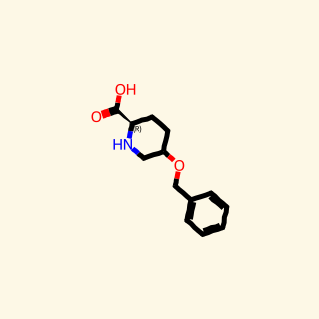 O=C(O)[C@H]1CCC(OCc2ccccc2)CN1